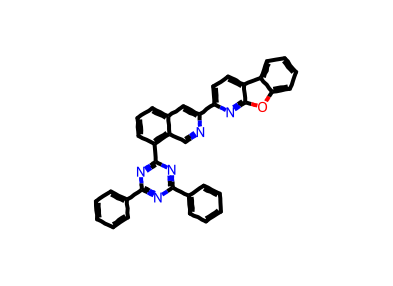 c1ccc(-c2nc(-c3ccccc3)nc(-c3cccc4cc(-c5ccc6c(n5)oc5ccccc56)ncc34)n2)cc1